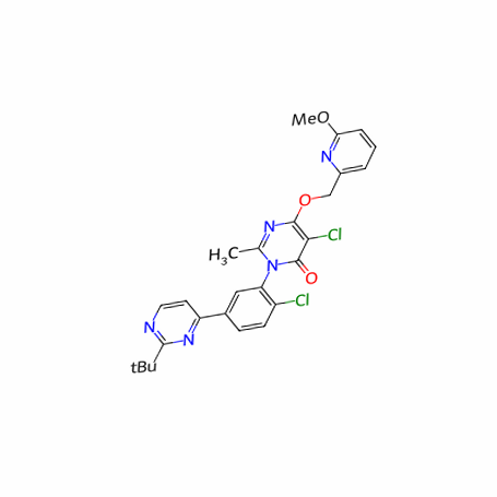 COc1cccc(COc2nc(C)n(-c3cc(-c4ccnc(C(C)(C)C)n4)ccc3Cl)c(=O)c2Cl)n1